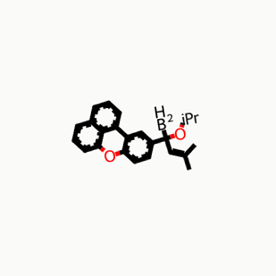 BC(C=C(C)C)(OC(C)C)c1ccc2c(c1)-c1cccc3cccc(c13)O2